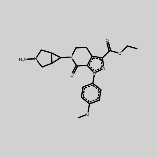 CCOC(=O)c1nn(-c2ccc(OC)cc2)c2c1CCN(C1C3CN(N)CC31)C2=O